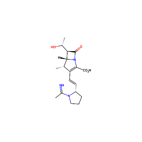 CC(=N)N1CCC[C@H]1/C=C/C1=C(C(=O)O)N2C(=O)[C@H]([C@@H](C)O)[C@H]2[C@H]1C